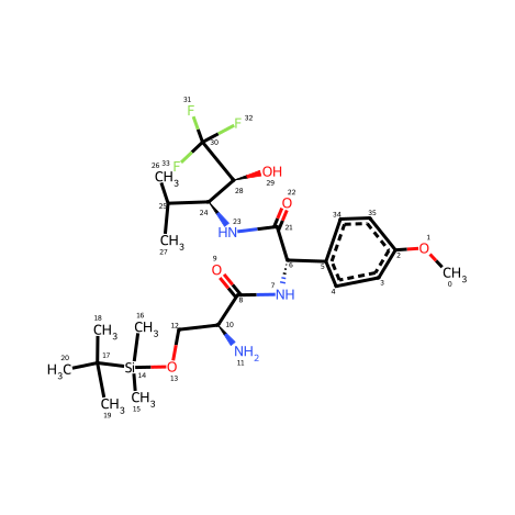 COc1ccc([C@H](NC(=O)[C@@H](N)CO[Si](C)(C)C(C)(C)C)C(=O)N[C@@H](C(C)C)[C@H](O)C(F)(F)F)cc1